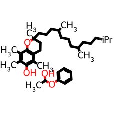 CC(O)Oc1ccccc1.Cc1c(C)c2c(c(C)c1O)CC[C@@](C)(CCCC(C)CCCC(C)CCCC(C)C)O2